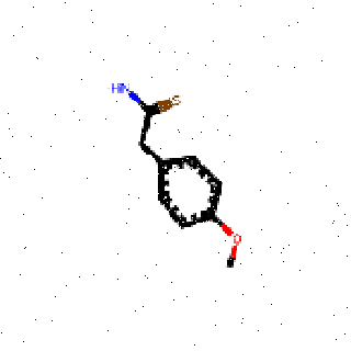 COc1ccc(CC([NH])=S)cc1